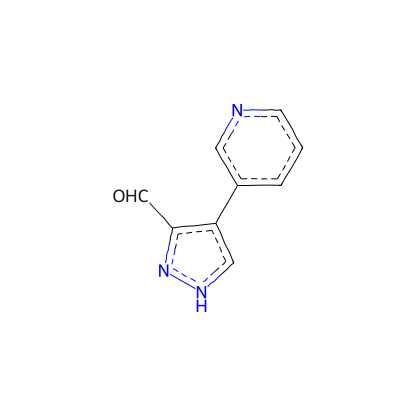 O=Cc1n[nH]cc1-c1cccnc1